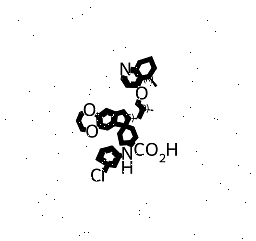 C[C@@H](COc1ccnc2c1[C@H](C)CCC2)C[C@H]1Cc2cc3c(cc2C12CCC(Nc1cccc(Cl)c1)(C(=O)O)CC2)OCCCO3